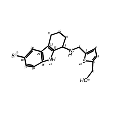 OCc1ccc(CNC2CCCc3c2[nH]c2ccc(Br)cc32)s1